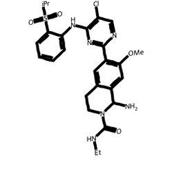 CCNC(=O)N1CCc2cc(-c3ncc(Cl)c(Nc4ccccc4S(=O)(=O)C(C)C)n3)c(OC)cc2C1N